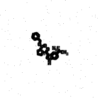 CC(C)c1ccc2[nH]cc(C(=O)[C@H]3CCCN3C(=O)OCc3ccccc3)c2c1